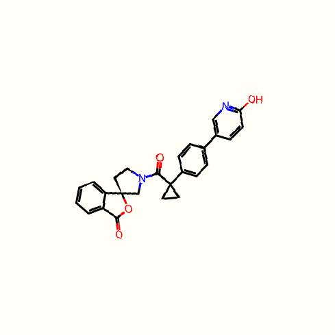 O=C1O[C@]2(CCN(C(=O)C3(c4ccc(-c5ccc(O)nc5)cc4)CC3)C2)c2ccccc21